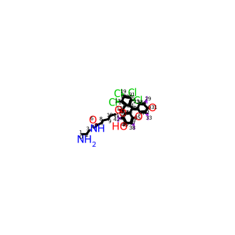 NCCCNC(=O)CCCCCOC(=O)c1c(Cl)c(Cl)c(Cl)c(Cl)c1-c1c2cc(I)c(=O)c(I)c-2oc2c(I)c(O)c(I)cc12